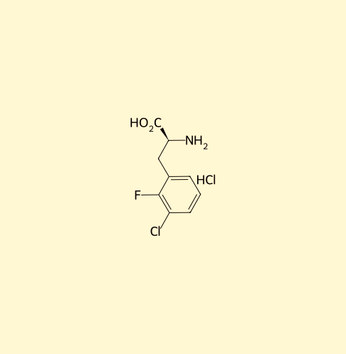 Cl.N[C@@H](Cc1cccc(Cl)c1F)C(=O)O